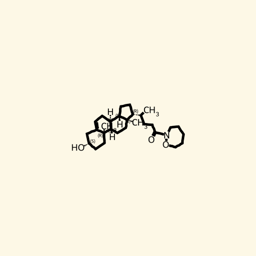 CC(CCC(=O)N1CCCCCO1)[C@H]1CC[C@H]2[C@@H]3CC=C4C[C@@H](O)CC[C@]4(C)[C@H]3CC[C@]12C